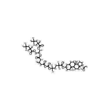 CC(=O)[C@H]1CCC2[C@@H]3CCC4C[C@@H](OC(=O)C(C)(C)CCC(C)(C)OC(=O)OC(=O)CC(C)CC(=O)OC(COC(=O)C(C)(C)CC(C)(C)C)COC(=O)C(C)(C)CC(C)(C)C)CC[C@]4(C)C3CC[C@@]21C